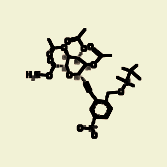 CC(=O)O[C@@H]1[C@@H](OC(C)=O)[C@H](C#Cc2cc([N+](=O)[O-])ccc2CO[Si](C)(C)C(C)(C)C)O[C@H](C(=O)O[SiH3])[C@H]1OC(C)=O